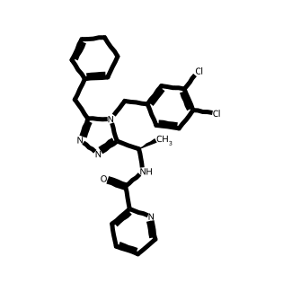 C[C@@H](NC(=O)c1ccccn1)c1nnc(CC2=CCCC=C2)n1Cc1ccc(Cl)c(Cl)c1